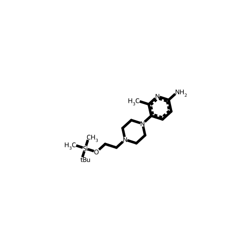 Cc1nc(N)ccc1N1CCN(CCO[Si](C)(C)C(C)(C)C)CC1